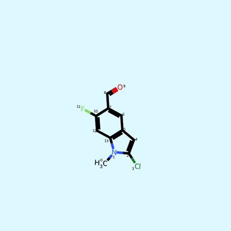 Cn1c(Cl)cc2cc(C=O)c(F)cc21